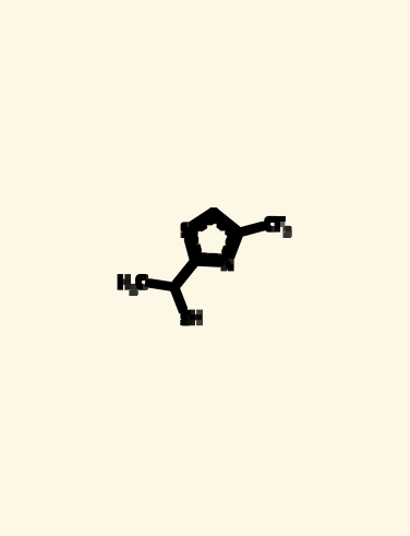 CC(S)c1nc(C(F)(F)F)cs1